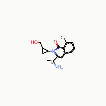 C[C@H](N)c1cc2cccc(Cl)c2c(=O)n1C1CC1CO